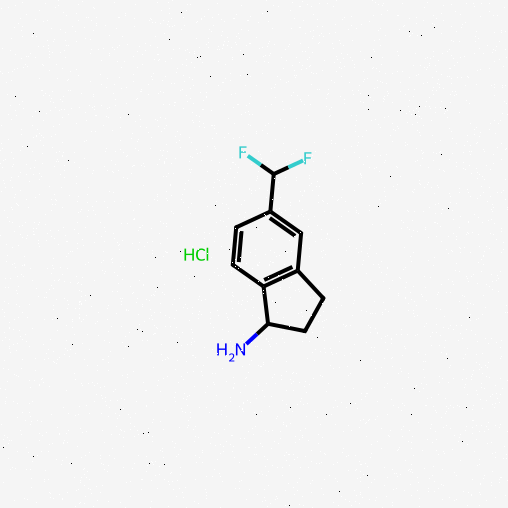 Cl.NC1CCc2cc(C(F)F)ccc21